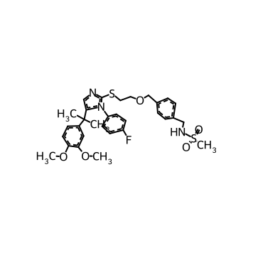 COc1ccc(C(C)(C)c2cnc(SCCOCc3ccc(CNS(C)(=O)=O)cc3)n2-c2ccc(F)cc2)cc1OC